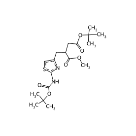 COC(=O)C(CC(=O)OC(C)(C)C)Cc1csc(NC(=O)OC(C)(C)C)n1